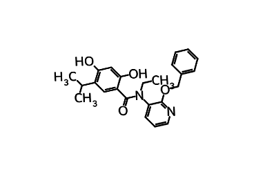 CCN(C(=O)c1cc(C(C)C)c(O)cc1O)c1cccnc1OCc1ccccc1